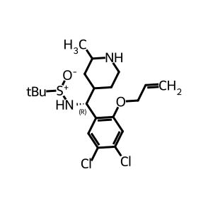 C=CCOc1cc(Cl)c(Cl)cc1[C@H](N[S+]([O-])C(C)(C)C)C1CCNC(C)C1